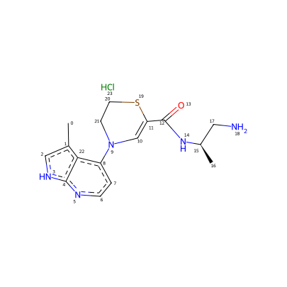 Cc1c[nH]c2nccc(N3C=C(C(=O)N[C@H](C)CN)SCC3)c12.Cl